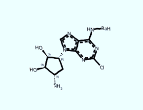 N[C@H]1C[C@@H](n2cnc3c([NH][RaH])nc(Cl)nc32)[C@H](O)[C@@H]1O